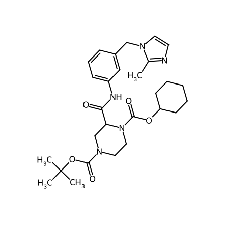 Cc1nccn1Cc1cccc(NC(=O)C2CN(C(=O)OC(C)(C)C)CCN2C(=O)OC2CCCCC2)c1